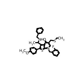 CCSCc1cn(Cc2ccccc2F)c2sc(-c3ccc(OC)cc3)c(C(C)NCc3ccccc3)c2c1=O